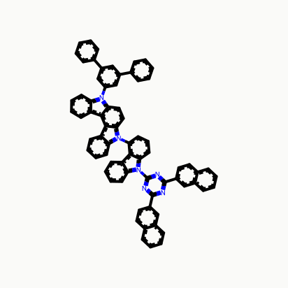 c1ccc(-c2cc(-c3ccccc3)cc(-n3c4ccccc4c4c5c6ccccc6n(-c6cccc7c6c6ccccc6n7-c6nc(-c7ccc8ccccc8c7)nc(-c7ccc8ccccc8c7)n6)c5ccc43)c2)cc1